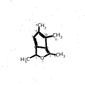 C[C]1OC(C)=C2C1=CC(C)=C2C